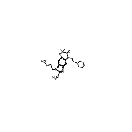 CC1(C)Oc2cc3c(cc2N(CCN2CCOCC2)C1=O)nc(N)n3CCCO